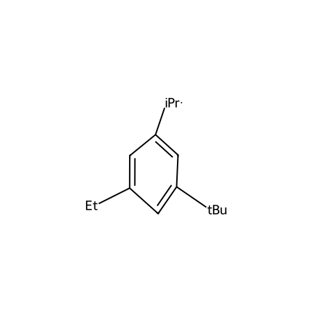 CCc1cc([C](C)C)cc(C(C)(C)C)c1